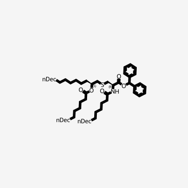 CCCCCCCCCCCCCCCC[C@@H](CSC[C@H](NC(=O)CCCCCCCCCCCCCCC)C(=O)OC(c1ccccc1)c1ccccc1)OC(=O)CCCCCCCCCCCCCCC